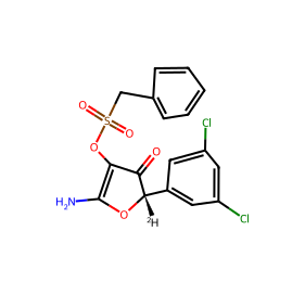 [2H][C@@]1(c2cc(Cl)cc(Cl)c2)OC(N)=C(OS(=O)(=O)Cc2ccccc2)C1=O